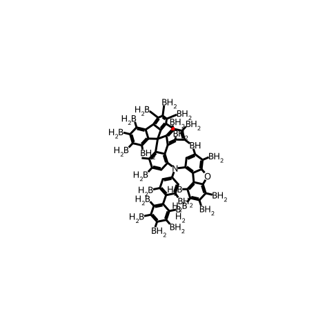 Bc1cc2c3c(c1C)C1(c4c(B)c(B)c(c(B)c4-3)Bc3cc(c4c(oc5c(B)c(B)c(B)c(B)c54)c3B)N2c2cc(B)c(-c3c(B)c(B)c(B)c(B)c3B)c(B)c2)c2c(B)c(B)c(B)c(B)c2-c2c(B)c(B)c(B)c(C)c21